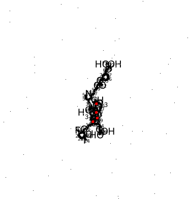 Cc1c(CN(C(=O)C2(C)C(c3ccc(CCCOc4c(F)ccc(F)c4Cl)cc3)CC3COCC2N3C(=O)Oc2cccc(CON(O)O)c2)C2CC2)ccnc1CCCOC(=O)Oc1cccc(CON(O)O)c1